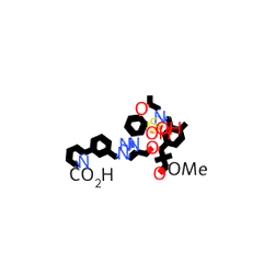 COC(=O)C(C)(C)C(OCc1cn(Cc2cccc(-c3cccc(C(=O)O)n3)c2)nn1)c1ccc(C)c(CN2CC(C)Oc3ccccc3S2(O)O)c1